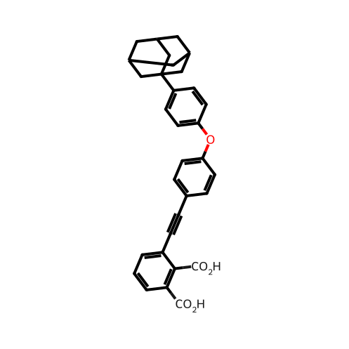 O=C(O)c1cccc(C#Cc2ccc(Oc3ccc(C45CC6CC(CC(C6)C4)C5)cc3)cc2)c1C(=O)O